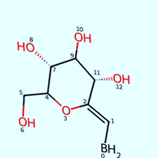 B/C=C1\OC(CO)[C@H](O)C(O)[C@@H]1O